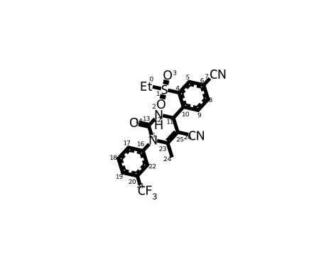 CCS(=O)(=O)c1cc(C#N)ccc1C1NC(=O)N(c2cccc(C(F)(F)F)c2)C(C)=C1C#N